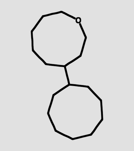 C1CCCCC(C2CCCCCOCC2)CCC1